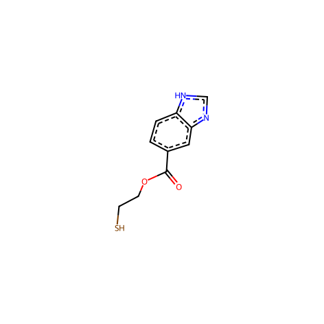 O=C(OCCS)c1ccc2[nH]cnc2c1